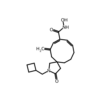 C=C1/C=C(C(=O)NO)\C=C/CCCC2(C1)CC(=O)N(CC1CCC1)C2